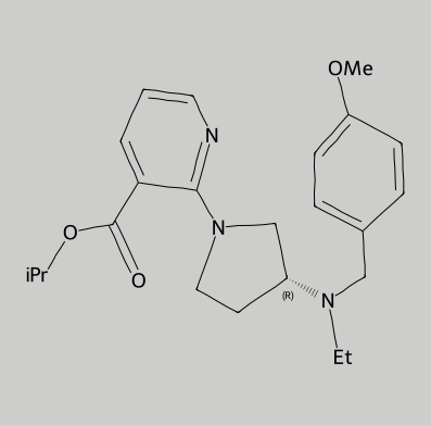 CCN(Cc1ccc(OC)cc1)[C@@H]1CCN(c2ncccc2C(=O)OC(C)C)C1